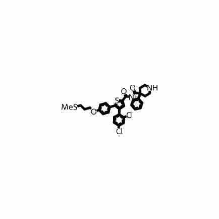 CSCCCOc1ccc(-c2sc(C(=O)NC(=O)C3(c4ccccc4)CCNCC3)cc2-c2ccc(Cl)cc2Cl)cc1